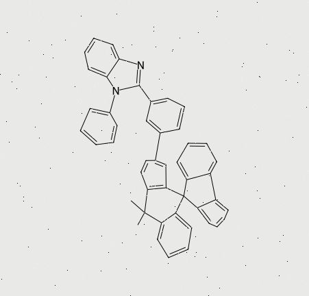 CC1(C)c2ccccc2C2(c3ccccc3-c3ccccc32)c2cc(-c3cccc(-c4nc5ccccc5n4-c4ccccc4)c3)ccc21